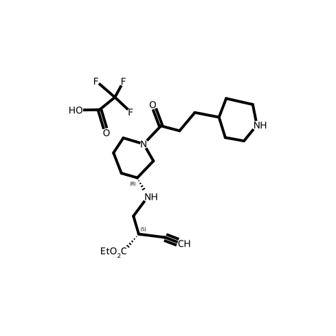 C#C[C@@H](CN[C@@H]1CCCN(C(=O)CCC2CCNCC2)C1)C(=O)OCC.O=C(O)C(F)(F)F